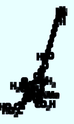 CN[C@@H](CCCCN)C(=O)N[C@@H](CCC(=O)O)C(=O)N[C@@H](CCCCN(CC(=O)O)CC(=O)O)C(=O)N[C@@H](CCCCNC(=O)COCCOCCNC(=O)CCCCCCCCCCCCCCCc1nnn[nH]1)C(N)=O